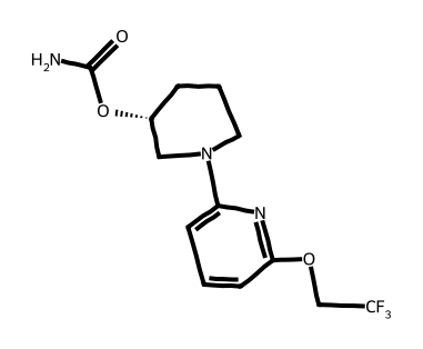 NC(=O)O[C@@H]1CCCN(c2cccc(OCC(F)(F)F)n2)C1